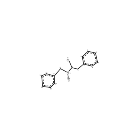 ClC(Cc1ccccc1)N(Br)Cc1ccccc1